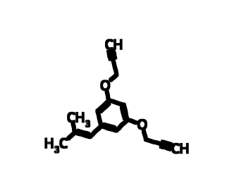 C#CCOc1cc(C=C(C)C)cc(OCC#C)c1